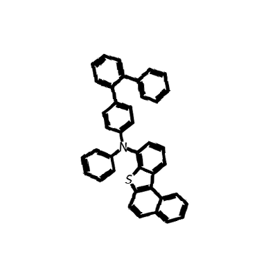 c1ccc(-c2ccccc2-c2ccc(N(c3ccccc3)c3cccc4c3sc3ccc5ccccc5c34)cc2)cc1